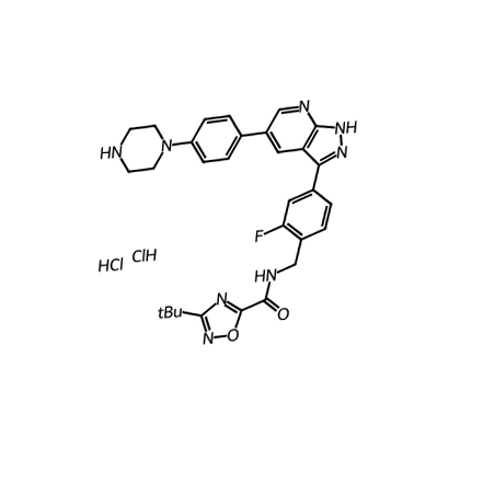 CC(C)(C)c1noc(C(=O)NCc2ccc(-c3n[nH]c4ncc(-c5ccc(N6CCNCC6)cc5)cc34)cc2F)n1.Cl.Cl